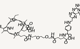 C=Cc1c(C)c2cc3nc(c(CC(=O)O)c4[nH]c(cc5nc(cc1[nH]2)C(C)=C5CC)c(C)c4C(=O)O)C(CCC(=O)NCCOCCOCNC(=O)CCC(NC(=O)c1ccc(NCc2cnc4nc(N)[nH]c(=O)c4n2)cc1)C(=O)O)C3C